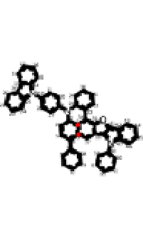 c1ccc(-c2ccc(N(c3ccc(-n4c5ccccc5c5ccccc54)cc3)c3ccccc3-c3cccc4c3oc3c5ccccc5n(-c5ccccc5)c43)cc2)cc1